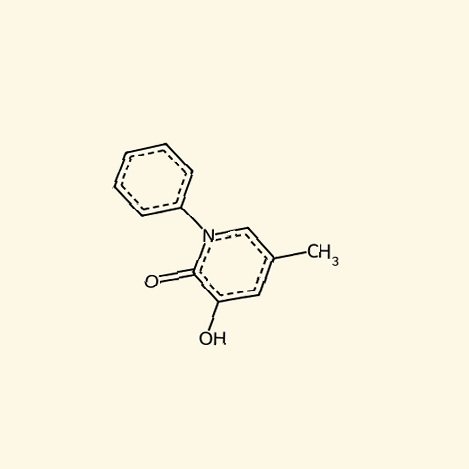 Cc1cc(O)c(=O)n(-c2ccccc2)c1